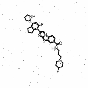 O=C(NCCCN1CCC(F)CC1)c1ccc2c(c1)sc1nc(-c3c(F)cc([C@@H]4CCCN4)c4c3CCC4)cn12